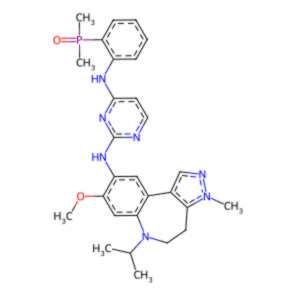 COc1cc2c(cc1Nc1nccc(Nc3ccccc3P(C)(C)=O)n1)-c1cnn(C)c1CCN2C(C)C